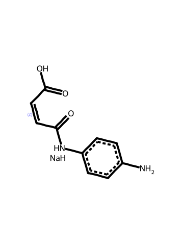 Nc1ccc(NC(=O)/C=C\C(=O)O)cc1.[NaH]